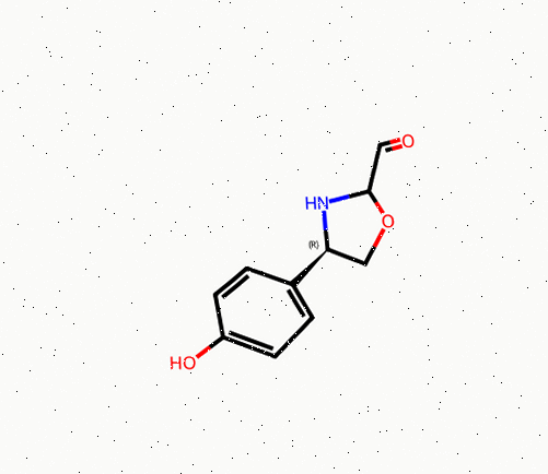 O=CC1N[C@H](c2ccc(O)cc2)CO1